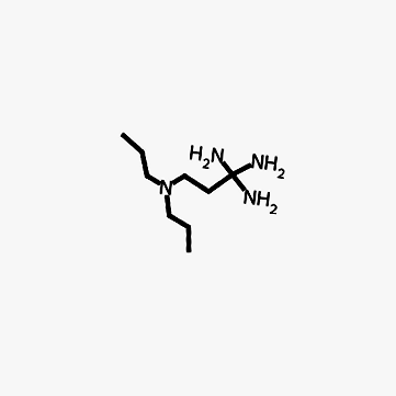 CCCN(CCC)CCC(N)(N)N